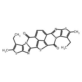 CCc1c(C)sc2nc3c4ccc5c(=O)n6c(nc7sc(C)c(CC)c76)c6sc(c(=O)n3c12)c4c56